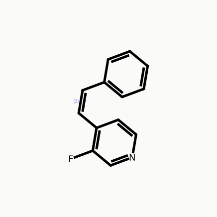 Fc1cnccc1/C=C\c1ccccc1